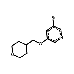 Brc1cncc(OCC2CCOCC2)c1